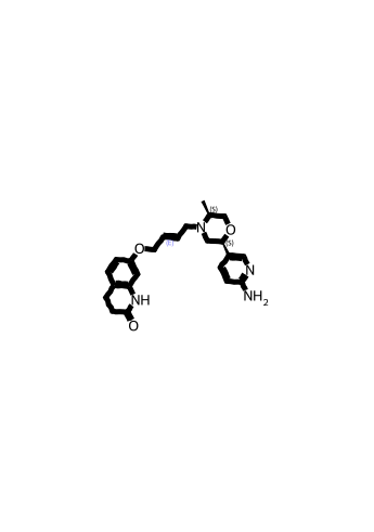 C[C@H]1CO[C@@H](c2ccc(N)nc2)CN1C/C=C/COc1ccc2c(c1)NC(=O)CC2